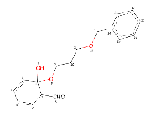 O=CC1C=CC=CC1(O)OCCCOCc1ccccc1